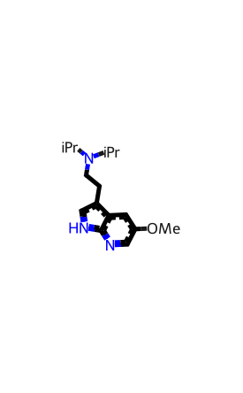 COc1cnc2[nH]cc(CCN(C(C)C)C(C)C)c2c1